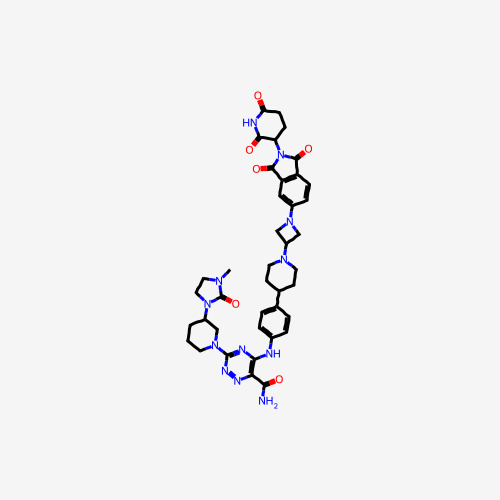 CN1CCN(C2CCCN(c3nnc(C(N)=O)c(Nc4ccc(C5CCN(C6CN(c7ccc8c(c7)C(=O)N(C7CCC(=O)NC7=O)C8=O)C6)CC5)cc4)n3)C2)C1=O